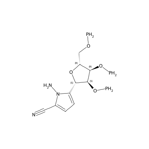 N#Cc1ccc([C@@H]2O[C@H](COP)[C@@H](OP)[C@H]2OP)n1N